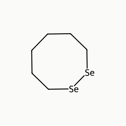 C1CCC[Se][Se]CC1